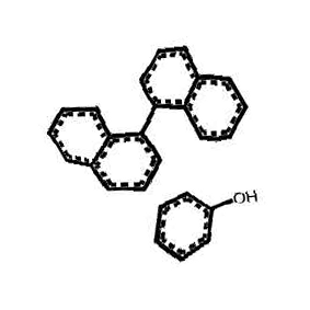 Oc1ccccc1.c1ccc2c(-c3cccc4ccccc34)cccc2c1